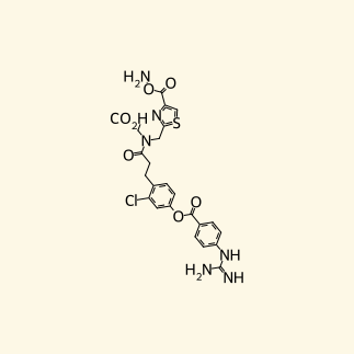 N=C(N)Nc1ccc(C(=O)Oc2ccc(CCC(=O)N(CC(=O)O)Cc3nc(C(=O)ON)cs3)c(Cl)c2)cc1